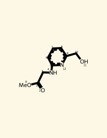 COC(=O)CNc1cccc(CO)n1